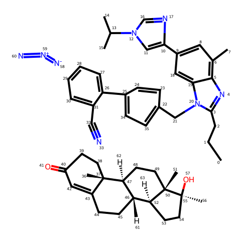 CCCc1nc2c(C)cc(-c3cn(C(C)C)cn3)cc2n1Cc1ccc(-c2ccccc2C#N)cc1.C[C@]12CCC(=O)C=C1CC[C@@H]1[C@@H]2CC[C@@]2(C)[C@H]1CC[C@]2(C)O.[N-]=[N+]=[N-]